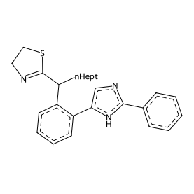 CCCCCCCC(C1=NCCS1)c1cc[c]cc1-c1cnc(-c2ccccc2)[nH]1